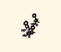 CCCCN(CCCC)C(=O)c1cc(C)n(-c2ccc(NC(=O)c3oc(-c4ccccc4)nc3C)cc2C(=O)N2Cc3ccccc3C[C@H]2CO)n1